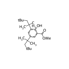 COC(=O)c1cc(C(C)(C)CC(C)(C)C)cc(C(C)(C)CC(C)(C)C)c1O